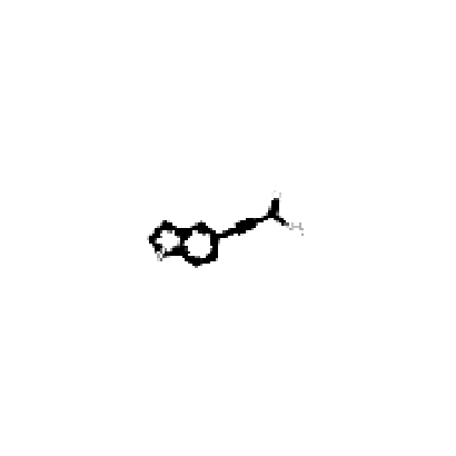 NC(=O)C#Cc1ccc2occc2c1